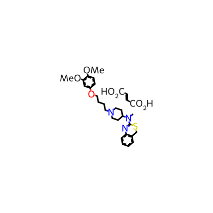 COc1ccc(OCCCCN2CCC(N(C)C3=Nc4ccccc4CS3)CC2)cc1OC.O=C(O)/C=C/C(=O)O